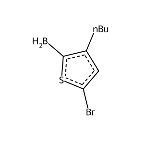 Bc1sc(Br)cc1CCCC